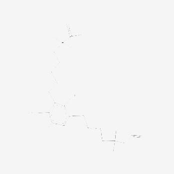 CC(C)(CCCCc1cc(O)c(O)c(CCCCCC(C)(C)C(=O)O)c1O)OC=O